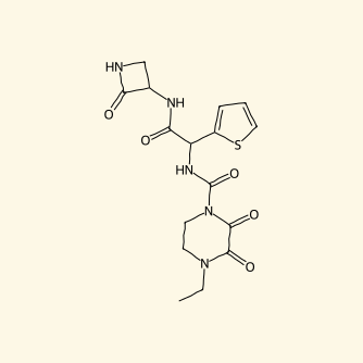 CCN1CCN(C(=O)NC(C(=O)NC2CNC2=O)c2cccs2)C(=O)C1=O